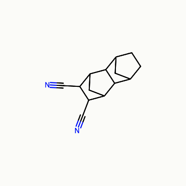 N#CC1C(C#N)C2CC1C1C3CCC(C3)C21